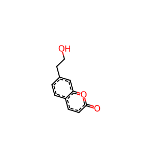 O=c1ccc2ccc(CCO)cc2o1